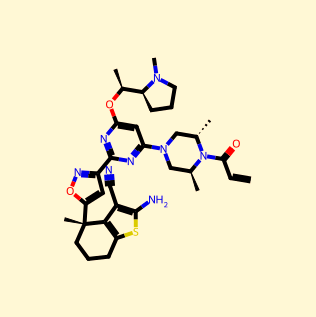 C=CC(=O)N1[C@@H](C)CN(c2cc(O[C@@H](C)[C@@H]3CCCN3C)nc(-c3cc([C@@]4(C)CCCc5sc(N)c(C#N)c54)on3)n2)C[C@@H]1C